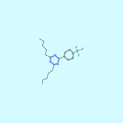 CCCCCc1nc(CCCCC)nc(-c2ccc(C(F)(F)F)cc2)n1